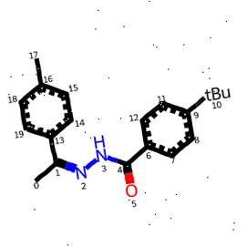 CC(=NNC(=O)c1ccc(C(C)(C)C)cc1)c1ccc(C)cc1